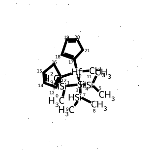 C[SiH](C)[Si]([SiH](C)C)([SiH](C)C)[Hf]([CH3])([C]1=CC=CC1)[C]1=CC=CC1